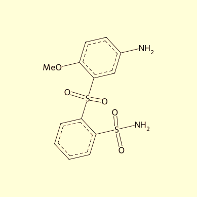 COc1ccc(N)cc1S(=O)(=O)c1ccccc1S(N)(=O)=O